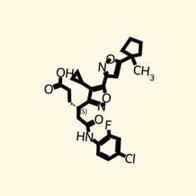 CC1(c2cc(-c3onc([C@@H](CCC(=O)O)CC(=O)Nc4ccc(Cl)cc4F)c3C3CC3)no2)CCCC1